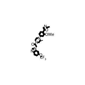 COc1cc(N2CCN(C(=O)Cn3cnc4ccc(OC(F)(F)F)cc43)C[C@@H]2C)ccc1-c1cnc(C)o1